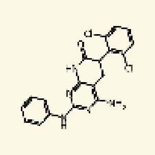 Nc1nc(Nc2ccccc2)nc2c1CC(c1c(Cl)cccc1Cl)C(=O)N2